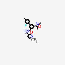 Cc1ccc(-c2cc(C(=O)N[C@H](C)c3ccc(C(F)(F)F)nc3)cc(-c3nc(C)oc3C)c2)c(F)c1